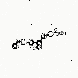 C[C@H](c1ccccn1)N1CCN(c2ccc(-c3cc(-c4cnn(C5CCN(C(=O)OC(C)(C)C)CC5)c4)cn4ncc(C#N)c34)cn2)CC1